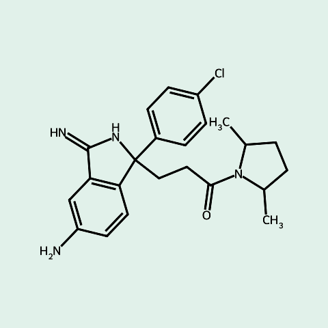 CC1CCC(C)N1C(=O)CCC1(c2ccc(Cl)cc2)NC(=N)c2cc(N)ccc21